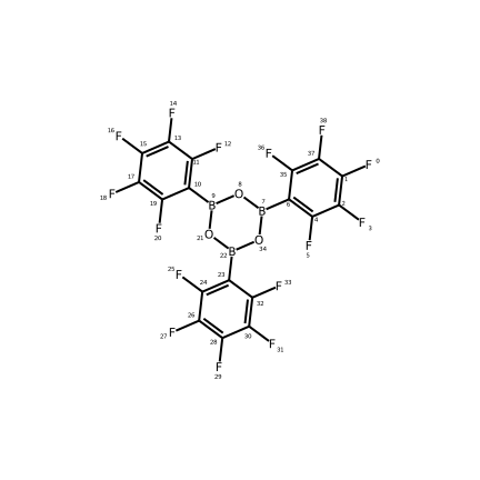 Fc1c(F)c(F)c(B2OB(c3c(F)c(F)c(F)c(F)c3F)OB(c3c(F)c(F)c(F)c(F)c3F)O2)c(F)c1F